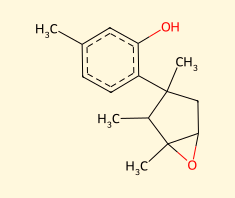 Cc1ccc(C2(C)CC3OC3(C)C2C)c(O)c1